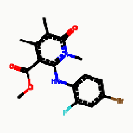 COC(=O)c1c(C)c(C)c(=O)n(C)c1Nc1ccc(Br)cc1F